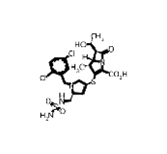 C[C@@H](O)[C@H]1C(=O)N2C(C(=O)O)=C(S[C@H]3C[C@@H](CNS(N)(=O)=O)N(Cc4cc(Cl)ccc4Cl)C3)[C@H](C)[C@H]12